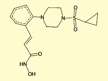 O=C(/C=C/c1ccccc1N1CCN(S(=O)(=O)C2CC2)CC1)NO